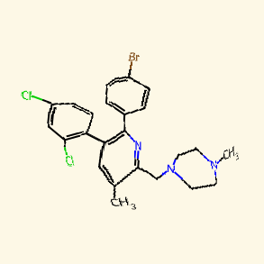 Cc1cc(-c2ccc(Cl)cc2Cl)c(-c2ccc(Br)cc2)nc1CN1CCN(C)CC1